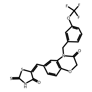 O=C1NC(=S)S/C1=C/c1ccc2c(c1)N(Cc1cccc(OC(F)(F)F)c1)C(=O)CO2